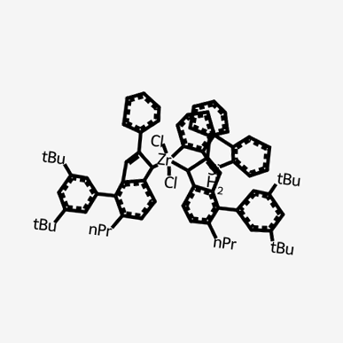 CCCc1ccc2c(c1-c1cc(C(C)(C)C)cc(C(C)(C)C)c1)C=C(c1ccccc1)[CH]2[Zr]([Cl])([Cl])([c]1cccc2c1[SiH2]c1ccccc1-2)[CH]1C(c2ccccc2)=Cc2c1ccc(CCC)c2-c1cc(C(C)(C)C)cc(C(C)(C)C)c1